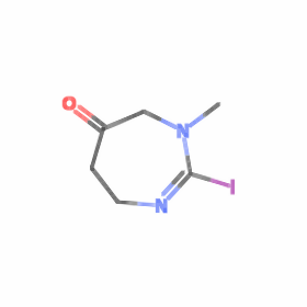 CN1CC(=O)CCN=C1I